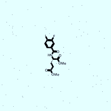 COC(=O)CC[C@H](NC(=O)c1ccc(I)c(F)c1)C(=O)OC